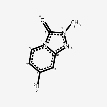 [2H]c1ccn2c(=O)n(C)nc2c1